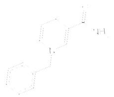 NC(=O)C1=CN(Cc2ccccc2)C=CC1